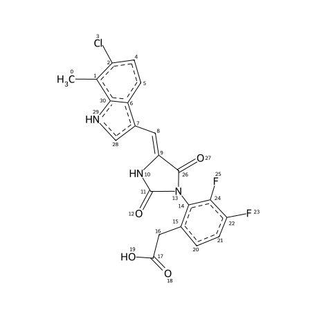 Cc1c(Cl)ccc2c(/C=C3\NC(=O)N(c4c(CC(=O)O)ccc(F)c4F)C3=O)c[nH]c12